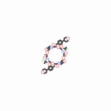 C[C@H]1OC(=O)C2(CC2)N(C)C(=O)[C@@H](Cc2ccc(C3CCOCC3)cc2)OC(=O)[C@H](CC(C)(C)F)N(C)C(=O)[C@@H](C)OC(=O)C2(CC2)N(C)C(=O)[C@@H](Cc2ccc(C3CCOCC3)cc2)OC(=O)[C@H](CC(C)(C)F)N(C)C1=O